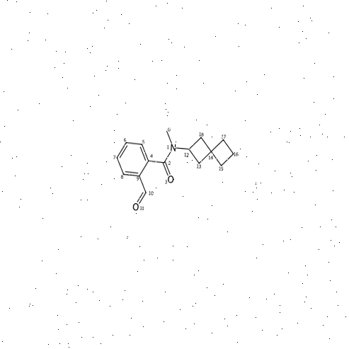 CN(C(=O)c1ccccc1C=O)C1CC2(CCC2)C1